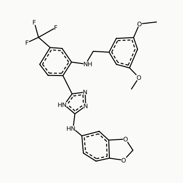 COc1cc(CNc2cc(C(F)(F)F)ccc2-c2nnc(Nc3ccc4c(c3)OCO4)[nH]2)cc(OC)c1